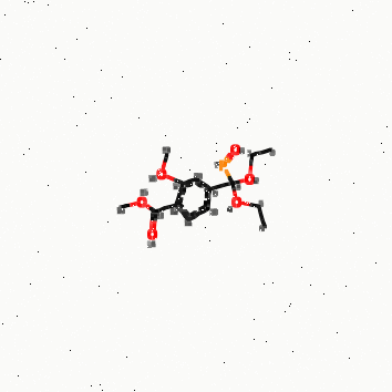 CCOC(OCC)(P=O)c1ccc(C(=O)OC)c(OC)c1